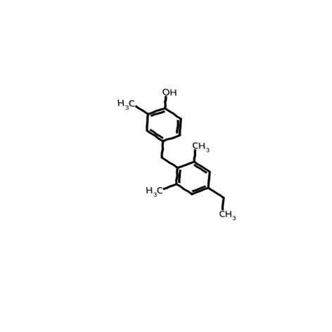 CCc1cc(C)c(Cc2ccc(O)c(C)c2)c(C)c1